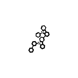 C1=CC(n2c3c(c4cccc(C5=Cc6c(n(-c7cccc(-c8ccccc8)c7)c7ccccc67)CC5)c42)CCC=C3)=CCC1